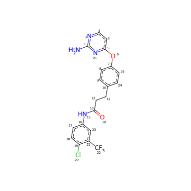 Nc1nccc(Oc2ccc(CCC(=O)Nc3ccc(Cl)c(C(F)(F)F)c3)cc2)n1